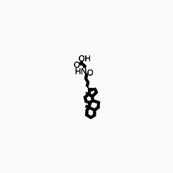 CC12CCCCC1CCC1C2CC[C@@]2(C)C1CC[C@@H]2CCCC(=O)NCC(=O)O